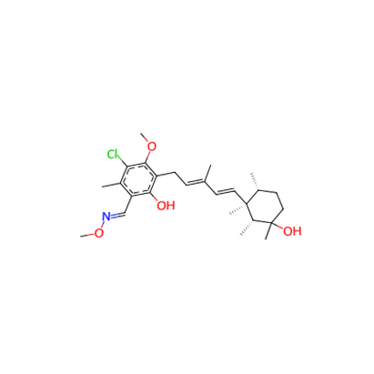 CO/N=C/c1c(C)c(Cl)c(OC)c(C/C=C(C)/C=C/[C@@]2(C)[C@H](C)CCC(C)(O)[C@@H]2C)c1O